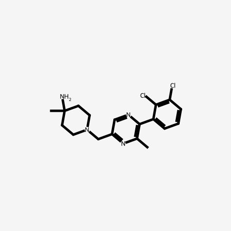 Cc1nc(CN2CCC(C)(N)CC2)cnc1-c1cccc(Cl)c1Cl